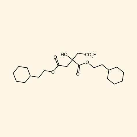 O=C(O)CC(O)(CC(=O)OCCC1CCCCC1)C(=O)OCCC1CCCCC1